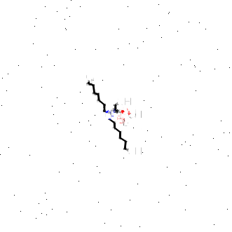 CCCCCCCCN(CCCCCCCC)C(CC)[SiH](OC)OC